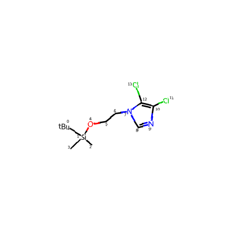 CC(C)(C)[Si](C)(C)OCCn1cnc(Cl)c1Cl